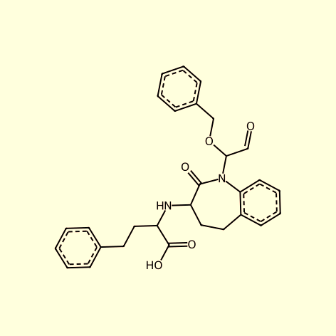 O=CC(OCc1ccccc1)N1C(=O)C(NC(CCc2ccccc2)C(=O)O)CCc2ccccc21